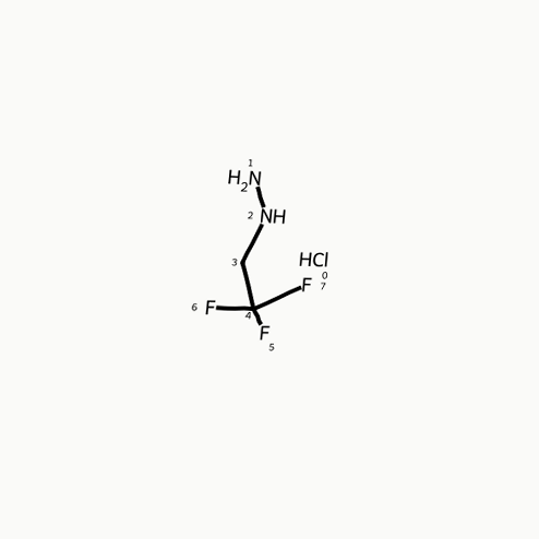 Cl.NNCC(F)(F)F